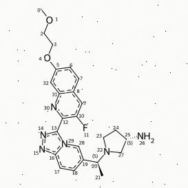 COCCOc1ccc2cc(F)c(-c3nnc4ccc([C@H](C)N5CC[C@H](N)C5)cn34)nc2c1